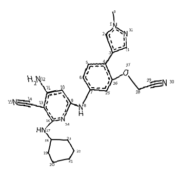 Cn1cc(-c2ccc(Nc3cc(N)c(C#N)c(NC4CCCCC4)n3)cc2OCC#N)cn1